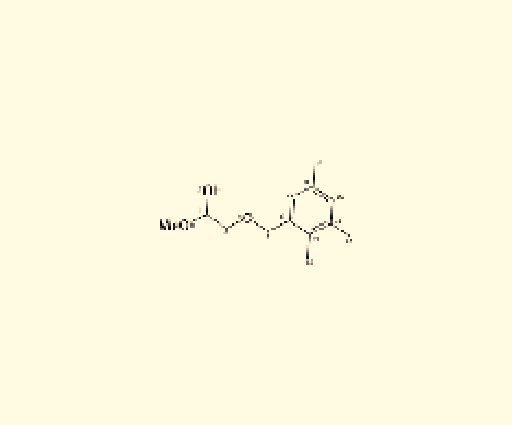 COC(O)COCc1cc(C)cc(C)c1C